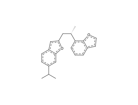 CC(C)c1ccc2cc(C[C@H](C)c3cccc4ccoc34)oc2c1